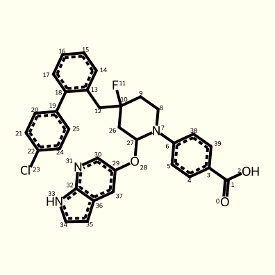 O=C(O)c1ccc(N2CCC(F)(Cc3ccccc3-c3ccc(Cl)cc3)CC2Oc2cnc3[nH]ccc3c2)cc1